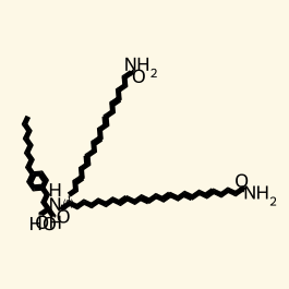 CCCCCCCCc1ccc(CCC(CO)(CO)NC(=O)[C@H](CCC=CCC=CCC=CCC=CCC=CCCCC(N)=O)CCCCCCC=CCC=CCC=CCC=CCC=CCCCC(N)=O)cc1